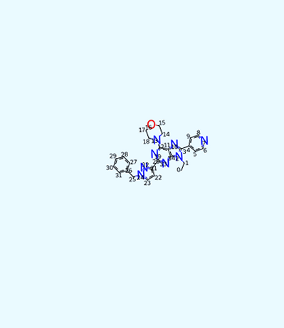 CCn1c(-c2ccncc2)nc2c(N3CCOCC3)nc(-c3ccn(Cc4ccccc4)n3)nc21